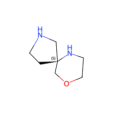 C1C[C@]2(CN1)COCCN2